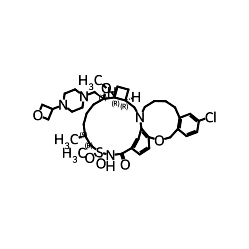 CO[C@@]1(CN2CCN(C3COC3)CC2)CCC[C@H](C)[C@@H](C)S(=O)(=O)NC(=O)c2ccc3c(c2)N(CCCCc2cc(Cl)ccc2CO3)C[C@@H]2CC[C@H]21